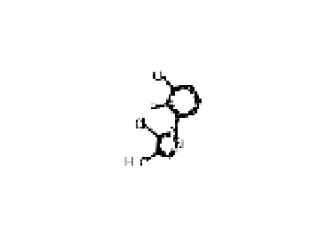 Cc1cnn(-c2cccc(Cl)c2F)c1Cl